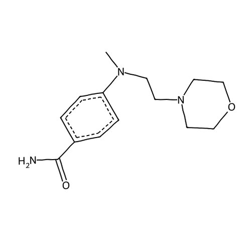 CN(CCN1CCOCC1)c1ccc(C(N)=O)cc1